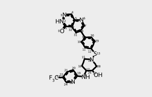 O=c1[nH]ncc2ncc(-c3ccc(SN4CCC(Nc5ccc(C(F)(F)F)cn5)C(O)C4)cc3)cc12